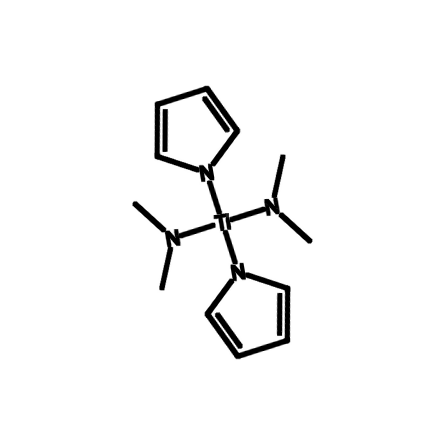 C[N](C)[Ti]([N](C)C)([n]1cccc1)[n]1cccc1